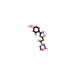 O=C(CC1CC(c2ccc(O)cc2F)=NO1)N1CCOCC1